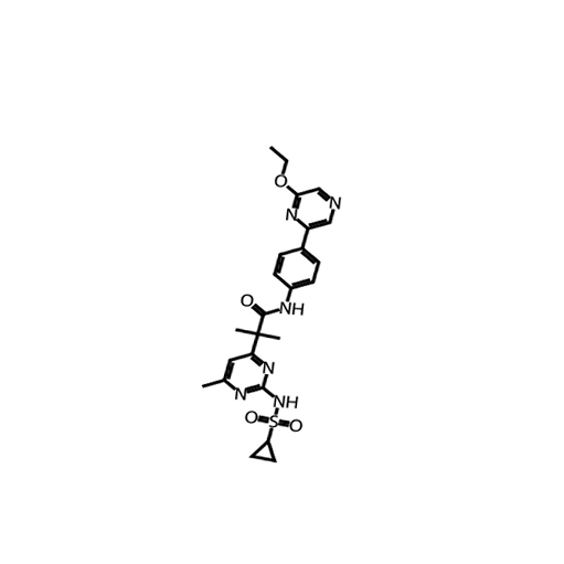 CCOc1cncc(-c2ccc(NC(=O)C(C)(C)c3cc(C)nc(NS(=O)(=O)C4CC4)n3)cc2)n1